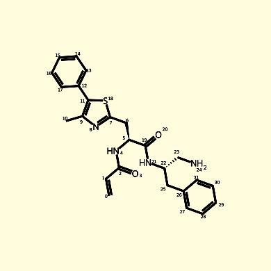 C=CC(=O)N[C@@H](Cc1nc(C)c(-c2ccccc2)s1)C(=O)N[C@H](CN)Cc1ccccc1